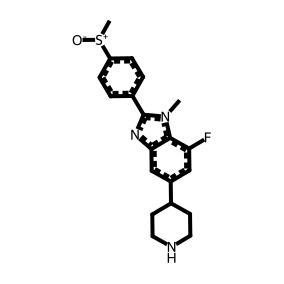 Cn1c(-c2ccc([S+](C)[O-])cc2)nc2cc(C3CCNCC3)cc(F)c21